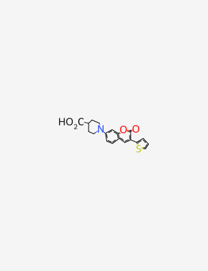 O=C(O)C1CCN(c2ccc3cc(-c4cccs4)c(=O)oc3c2)CC1